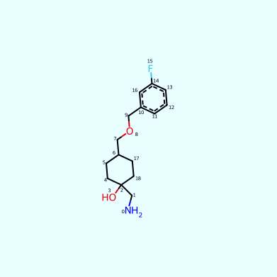 NCC1(O)CCC(COCc2cccc(F)c2)CC1